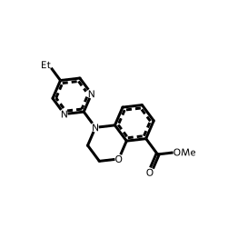 CCc1cnc(N2CCOc3c(C(=O)OC)cccc32)nc1